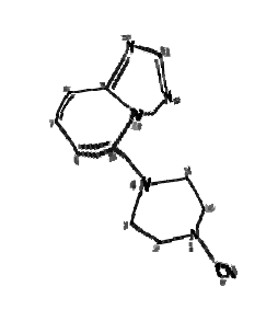 N#CN1CCN(c2cccc3ncnn23)CC1